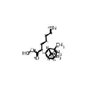 CC(C)(C)CCCCCC(=O)OO.CC1CCC2CC1C2(C)C